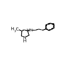 CC1[CH]C(NCCCc2ccccc2)CNC1